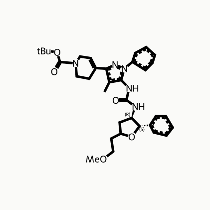 COCCC1C[C@@H](NC(=O)Nc2c(C)c(C3=CCN(C(=O)OC(C)(C)C)CC3)nn2-c2ccccc2)[C@H](c2ccccc2)O1